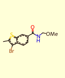 COCNC(=O)c1ccc2c(Br)c(C)sc2c1